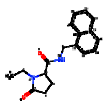 CCN1C(=O)CCC1C(=O)NCc1cccc2ccccc12